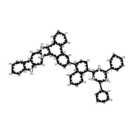 c1ccc(-c2nc(-c3ccccc3)nc(-c3ccc(-c4ccc5c(c4)c4ccccc4c4nc6cc7c(cn6c54)oc4ccccc47)c4ccccc34)n2)cc1